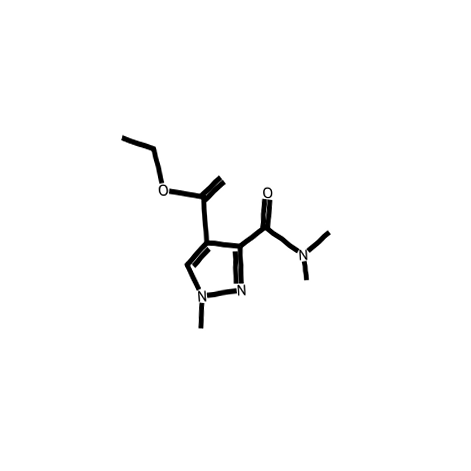 C=C(OCC)c1cn(C)nc1C(=O)N(C)C